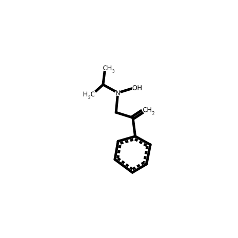 C=C(CN(O)C(C)C)c1ccccc1